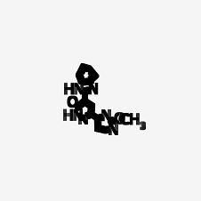 COc1nccc(-c2cc(-c3nc4ccccc4[nH]3)c(=O)[nH]n2)n1